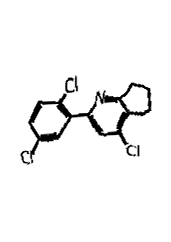 Clc1ccc(Cl)c(-c2cc(Cl)c3c(n2)CCC3)c1